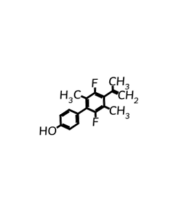 C=C(C)c1c(C)c(F)c(-c2ccc(O)cc2)c(C)c1F